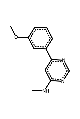 CNc1cc(-c2cccc(OC)c2)ncn1